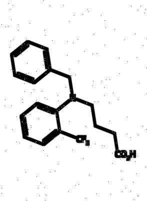 O=C(O)CCCN(Cc1ccccc1)c1ccccc1C(F)(F)F